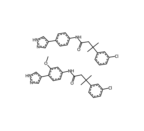 CC(C)(CC(=O)Nc1ccc(-c2cn[nH]c2)cc1)c1cccc(Cl)c1.COc1cc(NC(=O)CC(C)(C)c2cccc(Cl)c2)ccc1-c1cn[nH]c1